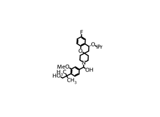 COc1cc(C(O)N2CCC3(CC2)C[C@@H](OC(C)C)c2cc(F)ccc2O3)ccc1C(C)(C)CO